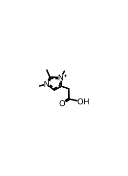 Cc1n(C)cc(CC(=O)O)[n+]1C